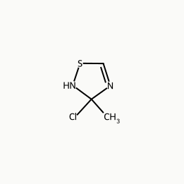 CC1(Cl)N=CSN1